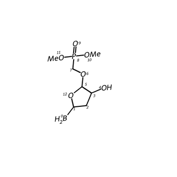 BC1CC(O)C(OCP(=O)(OC)OC)O1